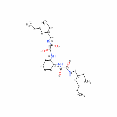 CCCCC(CC)CNC(=O)C(=O)NC1CCCCC1NC(=O)C(=O)NCC(CC)CCCC